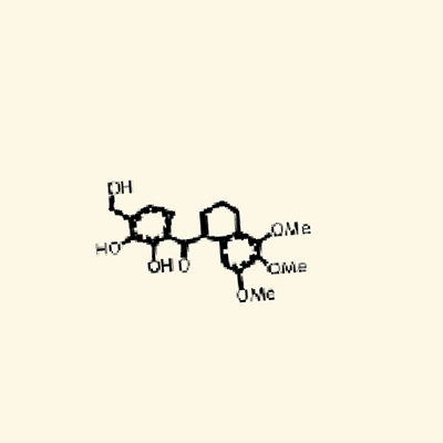 COc1cc2c(c(OC)c1OC)CCC=C2C(=O)c1ccc(CO)c(O)c1O